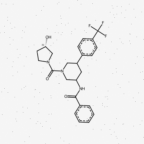 O=C(NC1CC(c2ccc(C(F)(F)F)cc2)CN(C(=O)N2CC[C@H](O)C2)C1)c1ccccc1